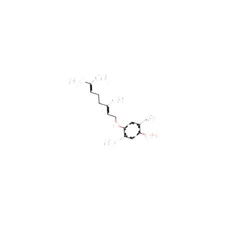 CC(C)=CCC/C(C)=C/COc1cc(C(C)C)c(O)cc1C